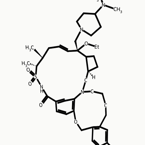 CCO[C@@]1(CN2CCC(N(C)C)CC2)/C=C/C[C@H](C)[C@@H](C)S(=O)(=O)NC(=O)c2ccc3c(c2)N(CCCCc2cc(Cl)ccc2CO3)C[C@@H]2CCC21